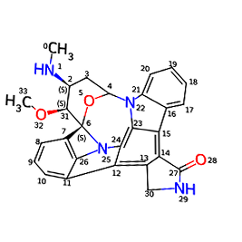 CN[C@H]1CC2O[C@@]3(c4cccc5c6c7c(c8c9ccccc9n2c8c6n3c45)C(=O)NC7)[C@H]1OC